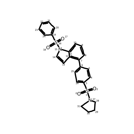 O=S(=O)(c1ccc(-c2cccc3c2ccn3S(=O)(=O)c2ccccc2)cc1)N1CCCC1